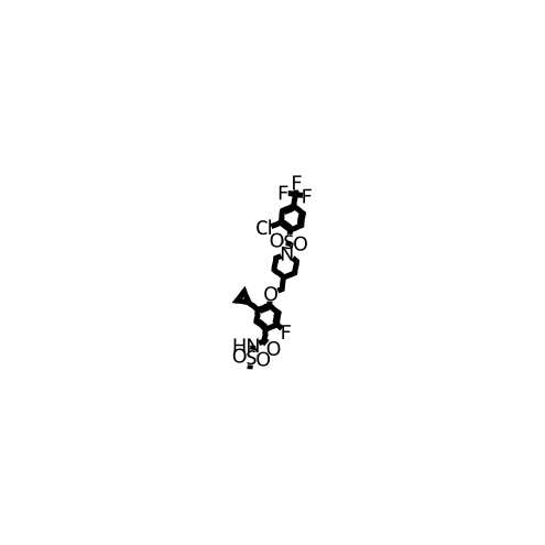 CS(=O)(=O)NC(=O)c1cc(C2CC2)c(OCC2CCN(S(=O)(=O)c3ccc(C(F)(F)F)cc3Cl)CC2)cc1F